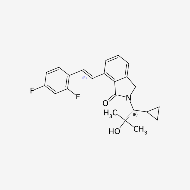 CC(C)(O)[C@@H](C1CC1)N1Cc2cccc(/C=C/c3ccc(F)cc3F)c2C1=O